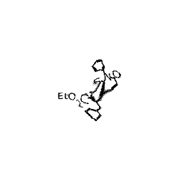 CCOC(=O)c1sc2c(ccc(=O)n2-c2ccccc2)c1Cc1ccccc1